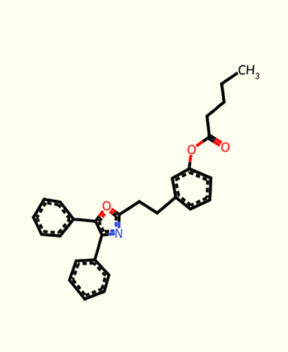 CCCCC(=O)Oc1cccc(CCc2nc(-c3ccccc3)c(-c3ccccc3)o2)c1